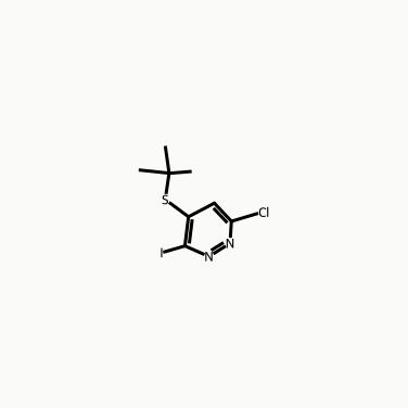 CC(C)(C)Sc1cc(Cl)nnc1I